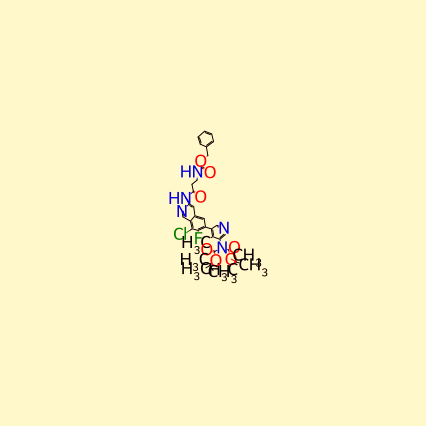 Cc1c(-c2cc3cc(NC(=O)CCNC(=O)OCc4ccccc4)ncc3c(Cl)c2F)cncc1N(C(=O)OC(C)(C)C)C(=O)OC(C)(C)C